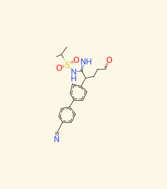 CC(C)S(=O)(=O)NC(=N)C(CCC=O)c1ccc(-c2ccc(C#N)cc2)cc1